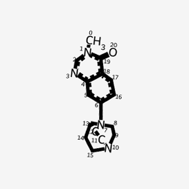 Cn1cnc2cc(N3CCN4CCC3CC4)ccc2c1=O